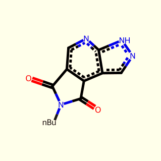 CCCCN1C(=O)c2cnc3[nH]ncc3c2C1=O